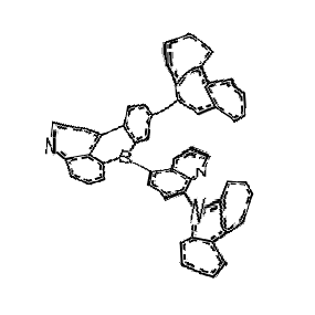 c1ccc2c(c1)cc(-c1ccc3c(c1)B(c1ccc(-n4c5ccccc5c5ccccc54)c4ncccc14)c1cccc4nccc-3c14)c1ccccc12